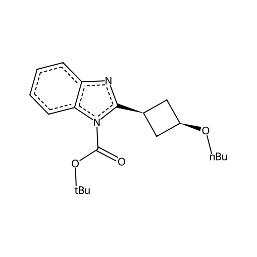 CCCCO[C@H]1C[C@@H](c2nc3ccccc3n2C(=O)OC(C)(C)C)C1